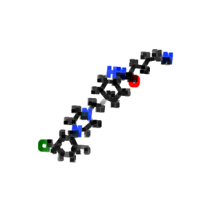 Cc1ccc(Cl)cc1N1CCN(CC[C@H]2CC[C@H](NC(=O)CCCC#N)CC2)CC1